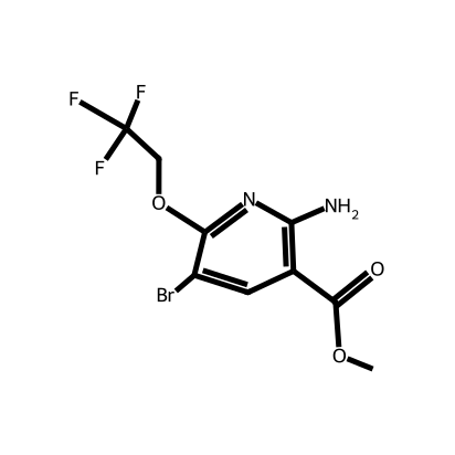 COC(=O)c1cc(Br)c(OCC(F)(F)F)nc1N